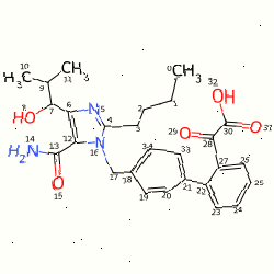 CCCCc1nc(C(O)C(C)C)c(C(N)=O)n1Cc1ccc(-c2ccccc2C(=O)C(=O)O)cc1